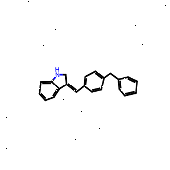 C(=C1CNc2ccccc21)c1ccc(Cc2ccccc2)cc1